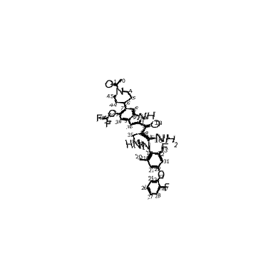 CC(=O)N1CCC(c2cc3[nH]c(C(=O)C4=C(N)N(c5c(C)cc(Oc6ccccc6F)cc5F)NC4)cc3cc2OC(F)F)CC1